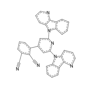 N#Cc1cccc(-c2cc(-n3c4ccccc4c4ncccc43)nc(-n3c4ccccc4c4ncccc43)c2)c1C#N